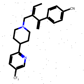 C=C(/C(=C\C)CN1CCC(c2ccc(C(F)(F)F)cn2)CC1)c1ccc(C#N)cc1